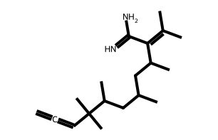 C=C=CC(C)(C)C(C)CC(C)CC(C)C(C(=N)N)=C(C)C